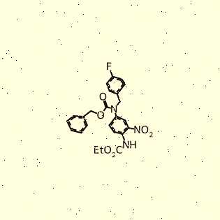 CCOC(=O)Nc1ccc(N(Cc2ccc(F)cc2)C(=O)OCc2ccccc2)cc1[N+](=O)[O-]